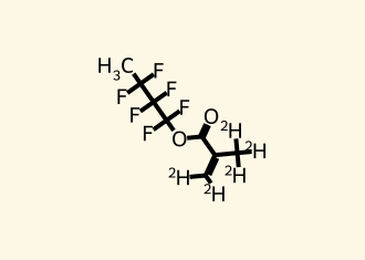 [2H]C([2H])=C(C(=O)OC(F)(F)C(F)(F)C(C)(F)F)C([2H])([2H])[2H]